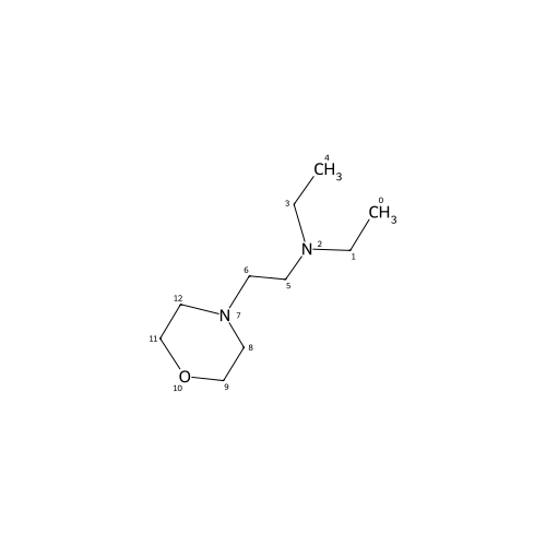 CCN(CC)CCN1CCOCC1